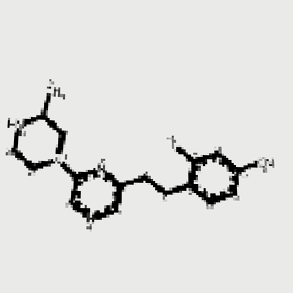 CC1CN(c2cncc(CCc3ccc(C#N)cc3F)n2)CCN1